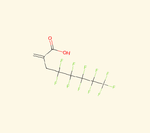 C=C(CC(F)(F)C(F)(F)C(F)(F)C(F)(F)C(F)(F)F)C(=O)O